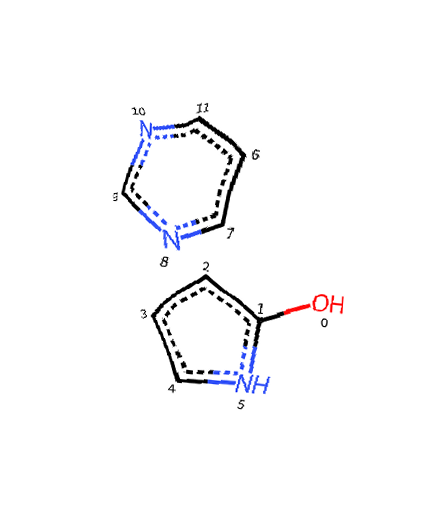 Oc1ccc[nH]1.c1cncnc1